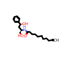 C#CCCCCCCCCC(=O)N[C@@H](CO)C[C@H](O)c1ccccc1